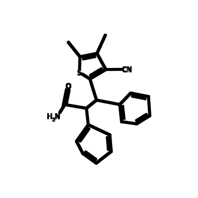 Cc1sc(C(c2ccccc2)C(C(N)=O)c2ccccc2)c(C#N)c1C